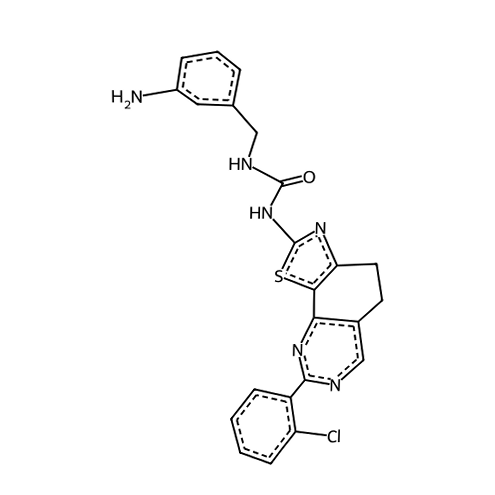 Nc1cccc(CNC(=O)Nc2nc3c(s2)-c2nc(-c4ccccc4Cl)ncc2CC3)c1